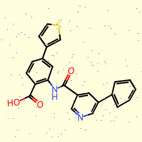 O=C(Nc1cc(-c2ccsc2)ccc1C(=O)O)c1cncc(-c2ccccc2)c1